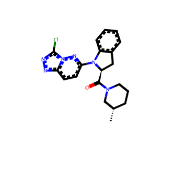 C[C@H]1CCCN(C(=O)[C@@H]2Cc3ccccc3N2c2ccc3nnc(Cl)n3n2)C1